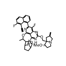 C#Cc1c(F)ccc2cccc(-c3nc4c5c(nc(OCC67CC(=C)CN6CC[C@@H]7OC)nc5c3F)N3CC5CCC(C3C(C)O4)N5C(=O)O)c12